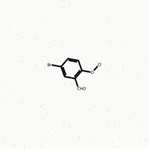 O=Cc1cc(Br)ccc1OCl